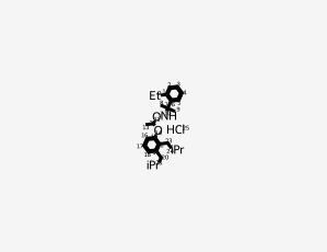 CCc1ccccc1C(C)(C)NOC(C)Oc1cccc(CC(C)C)c1CC(C)C.Cl